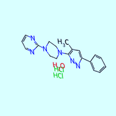 Cc1cc(-c2ccccc2)nnc1N1CCN(c2ncccn2)CC1.Cl.Cl.O